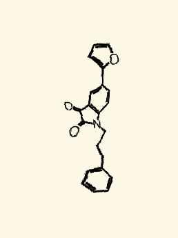 O=C1C(=O)N(CCCc2ccccc2)c2ccc(-c3ccco3)cc21